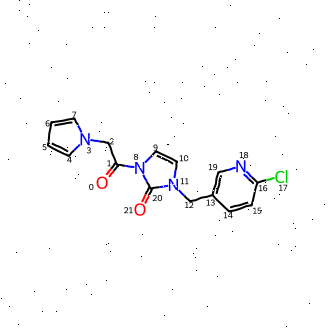 O=C(Cn1cccc1)n1ccn(Cc2ccc(Cl)nc2)c1=O